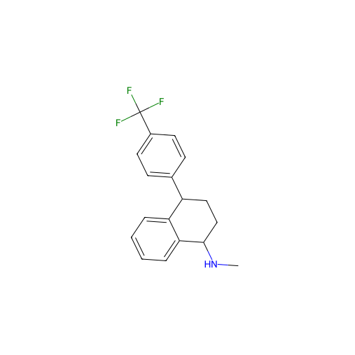 CNC1CCC(c2ccc(C(F)(F)F)cc2)c2ccccc21